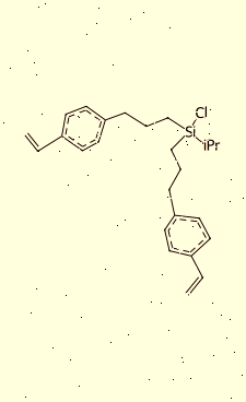 C=Cc1ccc(CCC[Si](Cl)(CCCc2ccc(C=C)cc2)C(C)C)cc1